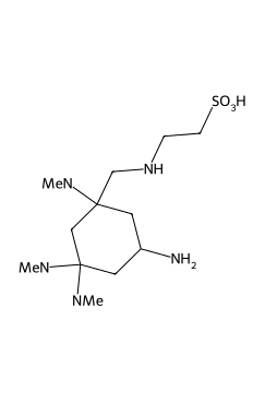 CNC1(CNCCS(=O)(=O)O)CC(N)CC(NC)(NC)C1